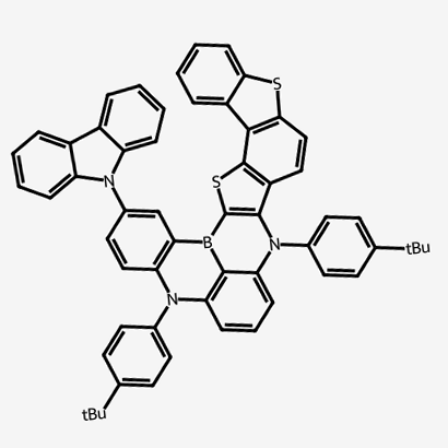 CC(C)(C)c1ccc(N2c3ccc(-n4c5ccccc5c5ccccc54)cc3B3c4sc5c(ccc6sc7ccccc7c65)c4N(c4ccc(C(C)(C)C)cc4)c4cccc2c43)cc1